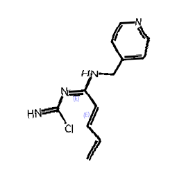 C=C/C=C/C(=N\C(=N)Cl)NCc1ccncc1